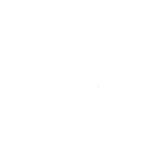 OCc1ccc(C(F)c2ccon2)cc1